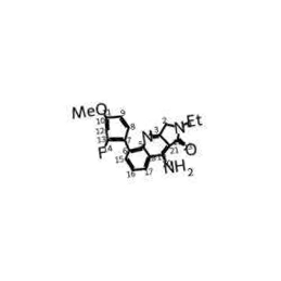 CCN1Cc2nc3c(-c4ccc(OC)cc4F)cccc3c(N)c2C1=O